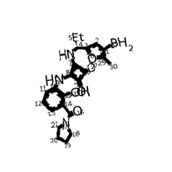 Bc1cc([C@@H](CC)Nc2c(Nc3cccc(C(=O)N4CCCC4)c3O)c(=O)c2=O)oc1C